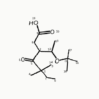 CCC(C)(C)C(=O)C(CC(=O)O)C(C)OC(C)(C)C